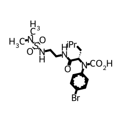 CC(C)C[C@@H](C(=O)NCCNS(=O)(=O)N(C)C)N(C(=O)O)c1ccc(Br)cc1